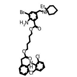 CCC1(NCc2cc(Br)c(N)c(C(=O)OCCCCCOC(=O)Cc3ccccc3Nc3c(Cl)cccc3Cl)c2)CCCCC1